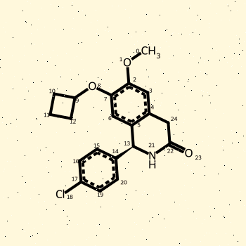 COc1cc2c(cc1OC1CCC1)[C@H](c1ccc(Cl)cc1)NC(=O)C2